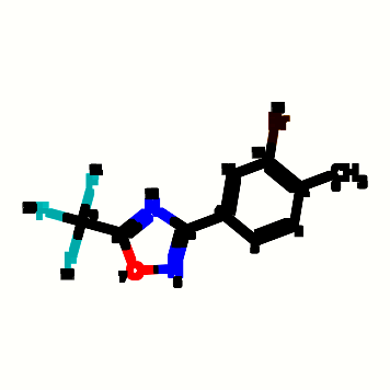 Cc1ccc(-c2noc(C(F)(F)F)n2)cc1Br